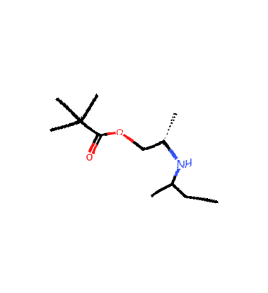 CCC(C)N[C@@H](C)COC(=O)C(C)(C)C